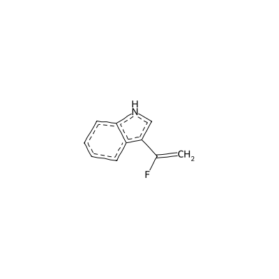 C=C(F)c1c[nH]c2ccccc12